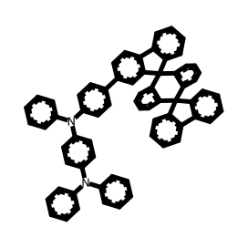 c1ccc(N(c2ccccc2)c2ccc(N(c3ccccc3)c3ccc(-c4ccc5c(c4)C4(c6ccccc6-5)c5ccccc5C5(c6ccccc6-c6ccccc65)c5ccccc54)cc3)cc2)cc1